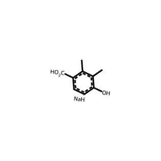 Cc1c(O)ccc(C(=O)O)c1C.[NaH]